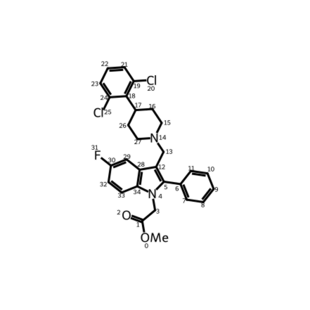 COC(=O)Cn1c(-c2ccccc2)c(CN2CCC(c3c(Cl)cccc3Cl)CC2)c2cc(F)ccc21